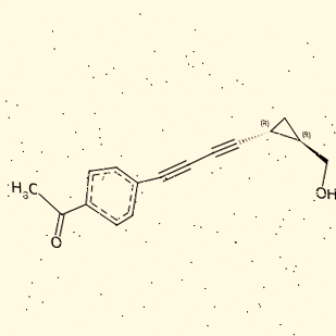 CC(=O)c1ccc(C#CC#C[C@@H]2C[C@H]2CO)cc1